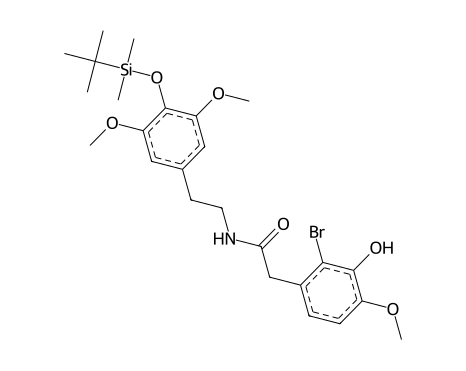 COc1ccc(CC(=O)NCCc2cc(OC)c(O[Si](C)(C)C(C)(C)C)c(OC)c2)c(Br)c1O